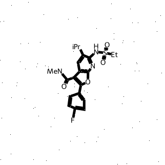 CCS(=O)(=O)Nc1nc2oc(-c3ccc(F)cc3)c(C(=O)NC)c2cc1C(C)C